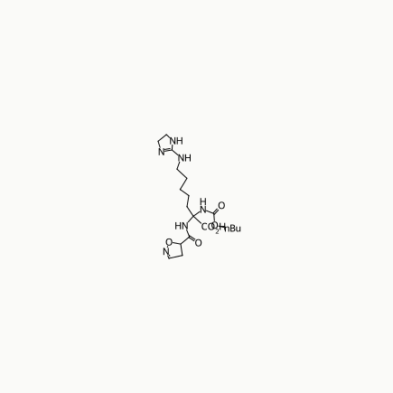 CCCCOC(=O)NC(CCCCCNC1=NCCN1)(NC(=O)C1CC=NO1)C(=O)O